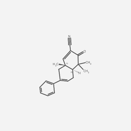 CC1(C)C(=O)C(C#N)=C[C@@]2(C)CC(c3ccccc3)=CC[C@H]12